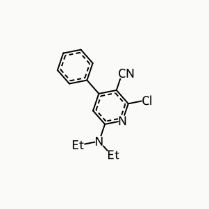 CCN(CC)c1cc(-c2ccccc2)c(C#N)c(Cl)n1